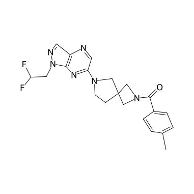 Cc1ccc(C(=O)N2CC3(CCN(c4cnc5cnn(CC(F)F)c5n4)C3)C2)cc1